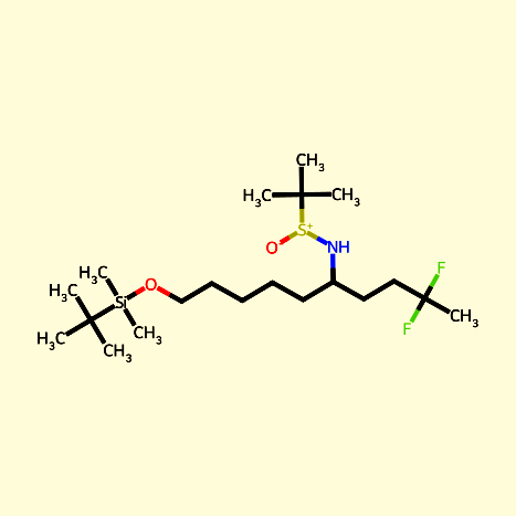 CC(F)(F)CCC(CCCCCO[Si](C)(C)C(C)(C)C)N[S+]([O-])C(C)(C)C